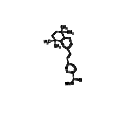 COC(=O)c1ccc(C=Cc2ccc3c(c2)C(C)(C)CCC3(C)C)cc1